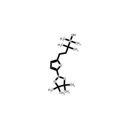 CC1(C)OB(c2ccc(CCC(C)(C)[Si](C)(C)O)s2)OC1(C)C